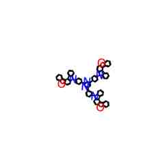 c1cc(-c2cc(-c3ccc(-n4c5ccccc5c5c6c(ccc54)oc4ccccc46)cc3)nc(-c3ccc(-n4c5ccccc5c5c6c(ccc54)oc4ccccc46)cc3)n2)cc(-n2c3ccccc3c3c4c(ccc32)oc2ccccc24)c1